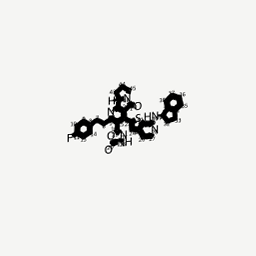 O=C1c2c(nc(CCc3ccc(F)cc3)c(-c3n[nH]c(=O)o3)c2-c2cc3ccnc(N[C@@H]4CCc5ccccc54)c3s2)[C@@H]2CCCN12